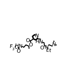 CCN(CCN(C)C)C(=O)CNCc1cc(C(=O)OC(C)CCNC(=O)C(F)(F)F)ccn1